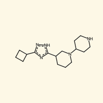 C1CC(c2n[nH]c(C3CCCN(C4CCNCC4)C3)n2)C1